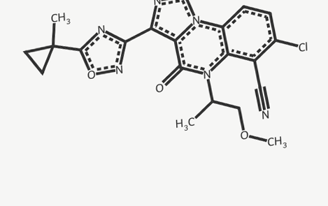 COCC(C)n1c(=O)c2c(-c3noc(C4(C)CC4)n3)ncn2c2ccc(Cl)c(C#N)c21